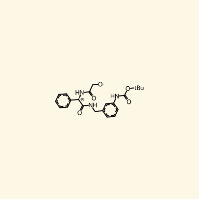 CC(C)(C)OC(=O)Nc1cccc(CNC(=O)[C@H](NC(=O)C[O])c2ccccc2)c1